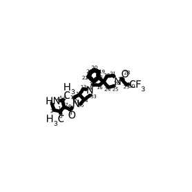 CC1CCNC(C)C1C(=O)N1CC2CN(CCC3(c4ccccc4)CCN(C(=O)CC(F)(F)F)CC3)CC2C1